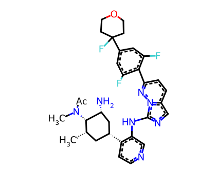 CC(=O)N(C)[C@@H]1[C@H](N)C[C@H](c2ccncc2Nc2ncc3ccc(-c4c(F)cc(C5(F)CCOCC5)cc4F)nn23)C[C@@H]1C